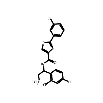 O=C(O)CC(NC(=O)c1csc(-c2cccc(Cl)c2)n1)c1ccc(Cl)cc1Cl